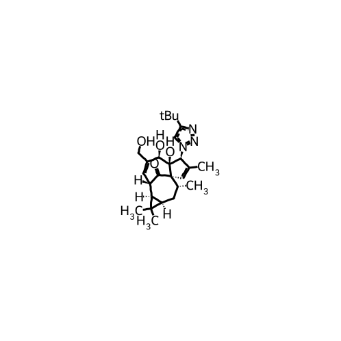 CC1=C[C@]23C(=O)[C@@H](C=C(CO)[C@@H](O)[C@]2(O)[C@H]1n1cc(C(C)(C)C)nn1)[C@H]1[C@@H](C[C@H]3C)C1(C)C